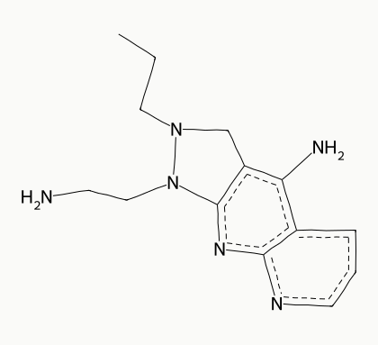 CCCN1Cc2c(nc3ncccc3c2N)N1CCN